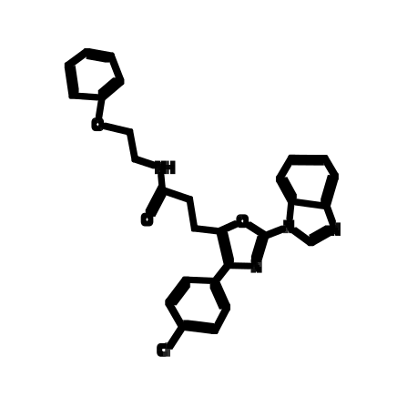 O=C(CCc1oc(-n2cnc3ccccc32)nc1-c1ccc(Cl)cc1)NCCOc1ccccc1